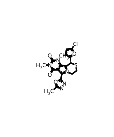 Cc1nnc(-c2c3c(=O)n(C)c(=O)n(C)c3c3n2CCS[C@@H]3c2ccc(Cl)o2)o1